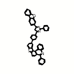 c1ccc(C2=NC(c3ccc4c(c3)oc3ccccc34)CC(c3ccc(-c4ccc5sc6ccc7c(-c8ccccc8)nc8ccccc8c7c6c5c4)cc3)=N2)cc1